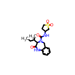 CCC(C)C1C(=O)Nc2ccccc2CN1C(=O)NC1CCS(=O)(=O)C1